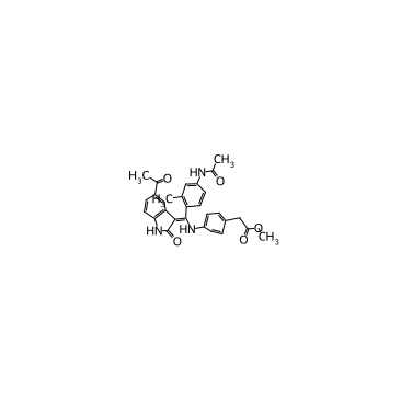 COC(=O)Cc1ccc(NC(=C2C(=O)Nc3ccc(C(C)=O)cc32)c2ccc(NC(C)=O)cc2C)cc1